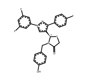 O=C1CS[C@H](c2cn(-c3cc(F)cc(F)c3)nc2-c2ccc(F)cc2)N1Cc1ccc(O)cc1